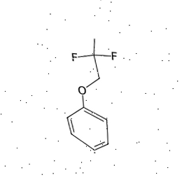 CC(F)(F)COc1cc[c]cc1